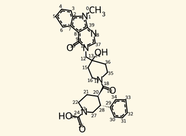 Cn1c2ccccc2c2c(=O)n(CC3(O)CCN(C(=O)[C@@H]4CCN(C(=O)O)C[C@H]4c4ccccc4)CC3)cnc21